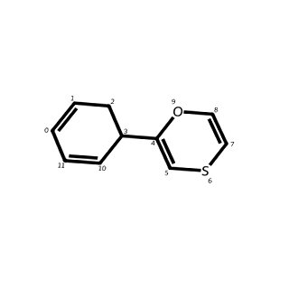 C1=CCC(C2=CSC=CO2)C=C1